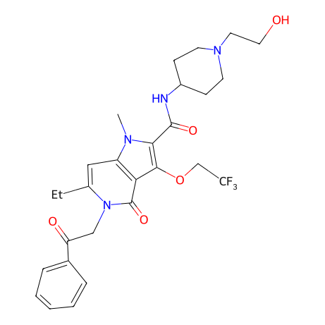 CCc1cc2c(c(OCC(F)(F)F)c(C(=O)NC3CCN(CCO)CC3)n2C)c(=O)n1CC(=O)c1ccccc1